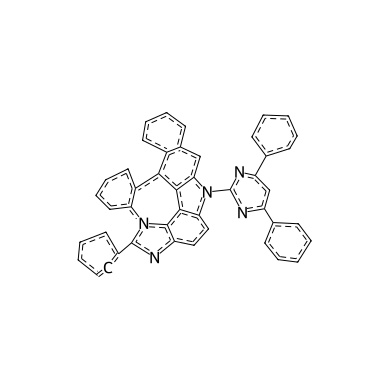 c1ccc(-c2cc(-c3ccccc3)nc(-n3c4cc5ccccc5c5c6ccccc6n6c(-c7ccccc7)nc7ccc3c(c54)c76)n2)cc1